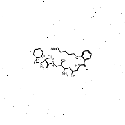 COCCCCOc1ccccc1C(=O)NCC(CC(N)C(O)CNC(=O)C(C)(C)[C@H]1CCCC[C@@H]1O)C(C)C